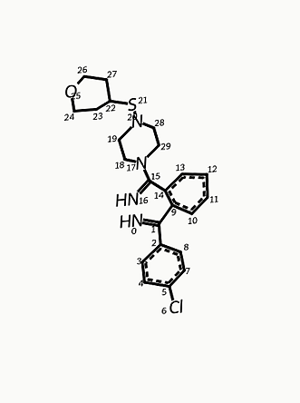 N=C(c1ccc(Cl)cc1)c1ccccc1C(=N)N1CCN(SC2CCOCC2)CC1